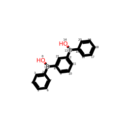 OB(c1ccccc1)c1cccc(B(O)c2ccccc2)c1